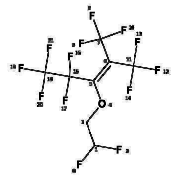 FC(F)COC(=C(C(F)(F)F)C(F)(F)F)C(F)(F)C(F)(F)F